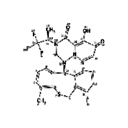 Cc1cccc2c1SCc1c(F)cccc1[C@@H]2N1CN([C@H](C)C(F)(F)F)C(=O)c2c(O)c(=O)ccn21